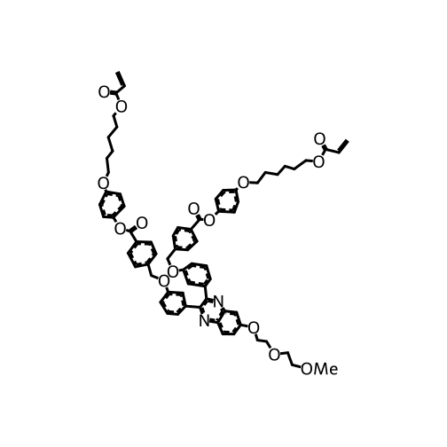 C=CC(=O)OCCCCCCOc1ccc(OC(=O)c2ccc(COc3cccc(-c4nc5ccc(OCCOCCOC)cc5nc4-c4cccc(OCc5ccc(C(=O)Oc6ccc(OCCCCCCOC(=O)C=C)cc6)cc5)c4)c3)cc2)cc1